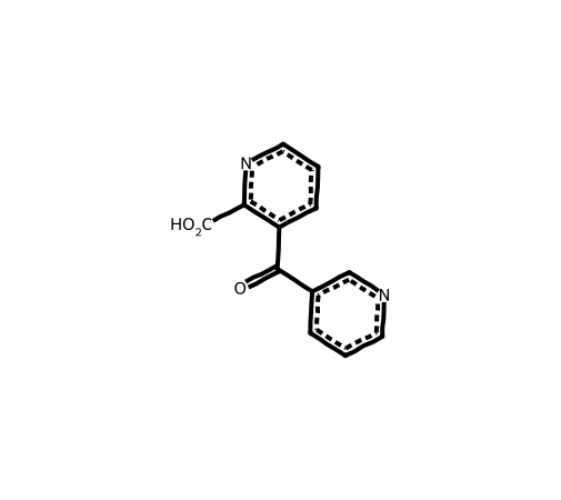 O=C(c1cccnc1)c1cccnc1C(=O)O